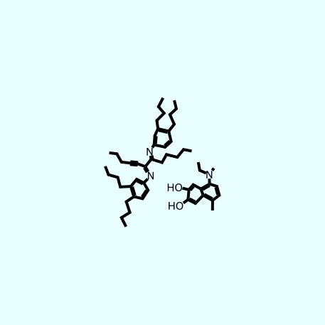 CCCC#CC(=Nc1ccc(CCCC)c(CCCC)c1)C(CCCCC)=Nc1ccc(CCCC)c(CCCC)c1.CCN(C)c1ccc(C)c2cc(O)c(O)cc12